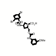 COc1cccc(NC(=O)OC[C@H]2C[C@@H](NS(=O)(=O)c3cc(Br)ccc3Br)CN2C(=O)O)c1